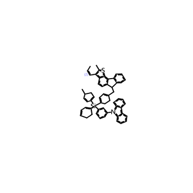 C/C=C\c1c(C)sc2c3c(ccc12)C(CC1=CC=C([Si](C2=CCC(C)C=C2)(C2=CC=CCC2)c2cccc(-n4c5ccccc5c5ccccc54)c2)CC1)c1ccccc1-3